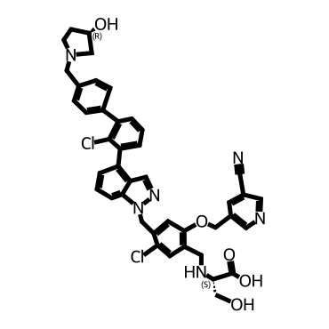 N#Cc1cncc(COc2cc(Cn3ncc4c(-c5cccc(-c6ccc(CN7CC[C@@H](O)C7)cc6)c5Cl)cccc43)c(Cl)cc2CN[C@@H](CO)C(=O)O)c1